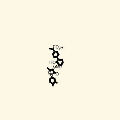 CC1=NN(c2ccc(C)c(C)c2)C(=O)/C1=N\Nc1cccc(-c2ccc([C@@H](C)C(=O)O)cc2)c1O